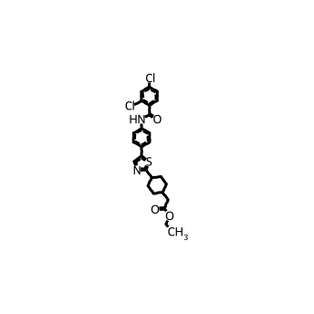 CCOC(=O)CC1CCC(c2ncc(-c3ccc(NC(=O)c4ccc(Cl)cc4Cl)cc3)s2)CC1